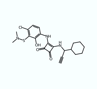 C#CC(Nc1c(Nc2ccc(Cl)c(SN(C)C)c2O)c(=O)c1=O)C1CCCCC1